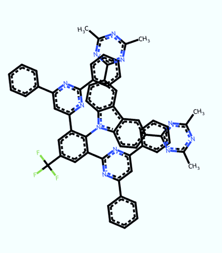 Cc1nc(C)nc(-c2ccc3c(c2)c2cc(-c4nc(C)nc(C)n4)ccc2n3-c2c(-c3cc(-c4ccccc4)nc(-c4ccccc4)n3)cc(C(F)(F)F)cc2-c2nc(-c3ccccc3)cc(-c3ccccc3)n2)n1